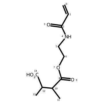 C=CC(=O)NCCOC(=O)C(C)C(C)C(=O)O